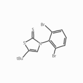 CC(C)(C)c1cn(-c2c(Br)cccc2Br)c(=S)s1